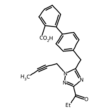 CC#CCn1nc(C(=O)CC)nc1Cc1ccc(-c2ccccc2C(=O)O)cc1